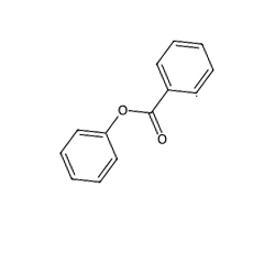 O=C(Oc1ccccc1)c1[c]cccc1